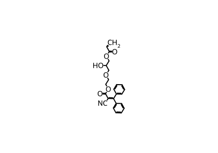 C=CC(=O)OCC(O)COCCOC(=O)C(C#N)=C(c1ccccc1)c1ccccc1